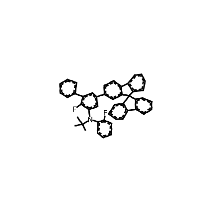 CC(C)(C)N(c1ccccc1F)c1cc(-c2ccc3c(c2)C2(c4ccccc4-c4ccccc42)c2ccccc2-3)cc(-c2ccccc2)c1F